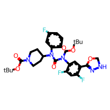 CC(C)(C)OC(=O)N1CCC(N(C(=O)N(C(=O)OC(C)(C)C)c2cc(C3=NNCO3)c(F)cc2F)c2cccc(F)c2)CC1